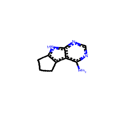 Nc1ncnc2[nH]c3c(c12)CCC3